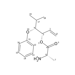 C=C[C@H](OC(=O)[C@H](C)N)[C@H](Oc1ccccc1)C(C)C